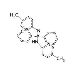 Cc1ccc(N=P(Nc2ccc(C)cc2)(c2ccccc2)c2ccccc2)cc1